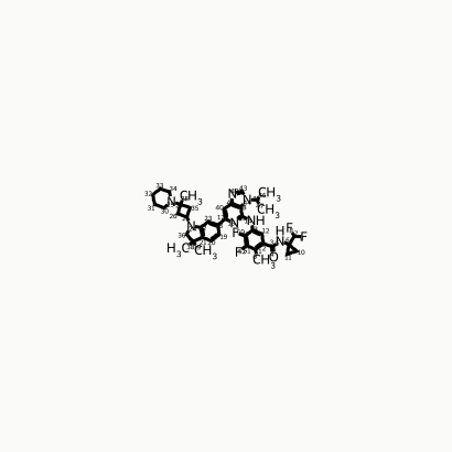 Cc1c(C(=O)NC2(C(F)F)CC2)cc(Nc2nc(-c3ccc4c(c3)N(C3CC(C)(N5CCCCC5)C3)CC4(C)C)cc3ncn(C(C)C)c23)c(F)c1F